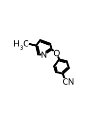 Cc1ccc(Oc2ccc(C#N)cc2)nc1